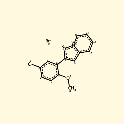 COc1ccc(Cl)cc1-c1cc2cccc[n+]2o1.[Br-]